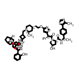 Cc1ncsc1-c1ccc([C@H](C)NC(=O)[C@@H]2C[C@@H](O)CN2C(=O)[C@H](c2cc(OCC[C@H]3CCN(CC4CC(Oc5cc(N6C7CC[C@@H]6CN(c6cc(-c8ccccc8O)nnc6N)C7)ccn5)C4)[C@H](C)C3)no2)C(C)C)cc1